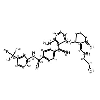 N=C1CCC[C@H](Nc2ncnc(N)c2C(=N)c2ccc(C(=O)Nc3cc(C(F)(F)F)ccn3)cc2)/C1=C/NCCO